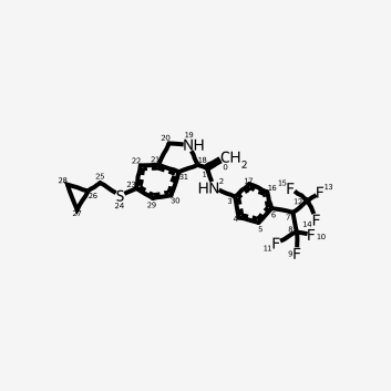 C=C(Nc1ccc(C(C(F)(F)F)C(F)(F)F)cc1)C1NCc2cc(SCC3CC3)ccc21